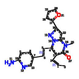 C/C=C\c1c(/C=C/c2ccc(N)nc2)n2nc(-c3ccco3)cc2n(C)c1=O